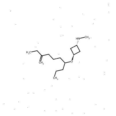 C=C(CC)CCCC(CCC)O[C@H]1C[C@H](NC)C1